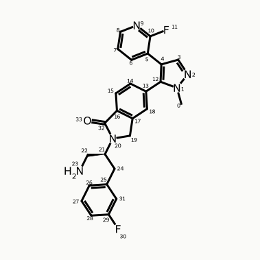 Cn1ncc(-c2cccnc2F)c1-c1ccc2c(c1)CN([C@H](CN)Cc1cccc(F)c1)C2=O